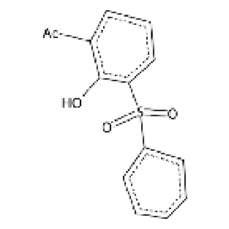 CC(=O)c1cccc(S(=O)(=O)c2ccccc2)c1O